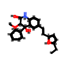 CCc1ccc(C=Cc2ccc3c(c2)C(O)(c2ccccc2)C(OC)C(=O)N3)o1